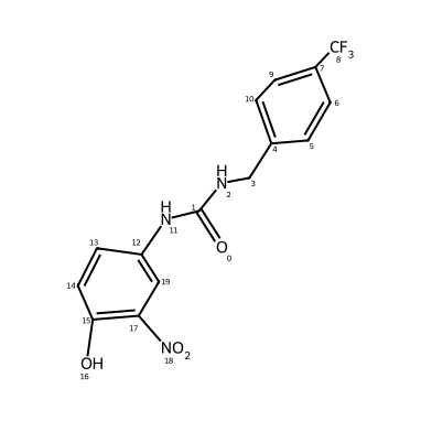 O=C(NCc1ccc(C(F)(F)F)cc1)Nc1ccc(O)c([N+](=O)[O-])c1